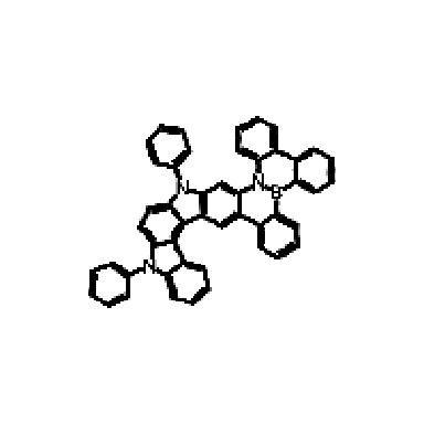 c1ccc(-n2c3ccccc3c3c4c5cc6c(cc5n(-c5ccccc5)c4ccc32)N2B(c3ccccc3-c3ccccc32)c2ccccc2-6)cc1